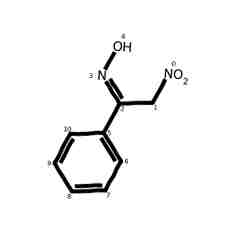 O=[N+]([O-])CC(=NO)c1ccccc1